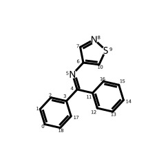 c1ccc(C(=Nc2cnsc2)c2ccccc2)cc1